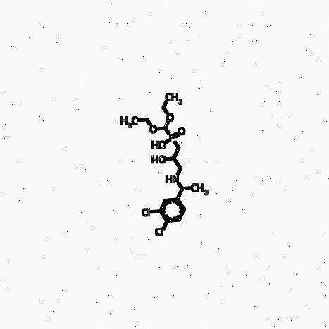 CCOC(OCC)P(=O)(O)CC(O)CNC(C)c1ccc(Cl)c(Cl)c1